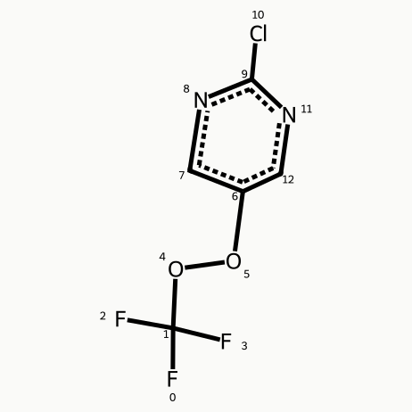 FC(F)(F)OOc1cnc(Cl)nc1